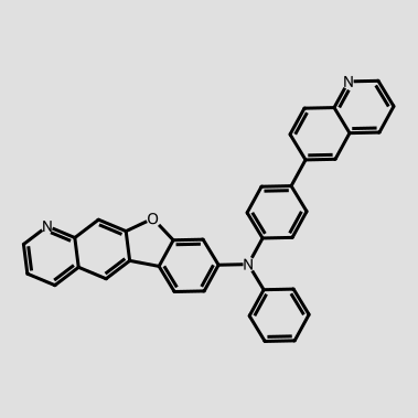 c1ccc(N(c2ccc(-c3ccc4ncccc4c3)cc2)c2ccc3c(c2)oc2cc4ncccc4cc23)cc1